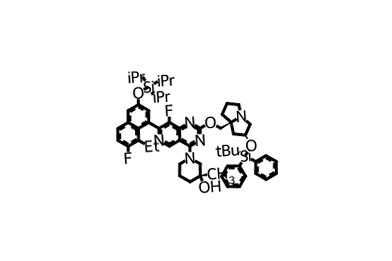 CCc1c(F)ccc2cc(O[Si](C(C)C)(C(C)C)C(C)C)cc(-c3ncc4c(N5CCC[C@@](C)(O)C5)nc(OC[C@@]56CCCN5C[C@H](O[Si](c5ccccc5)(c5ccccc5)C(C)(C)C)C6)nc4c3F)c12